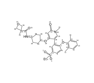 CCS(=O)(=O)c1ccc(Oc2c(C)cccc2C)c(-c2cn(C)c(=O)cc2OC2CCC(NC(=O)C3(C)COC3)CC2)c1